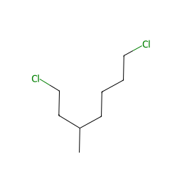 CC(CCCl)CCCCCl